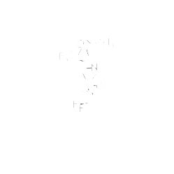 Cc1coc2c(C(F)(F)F)cc(-c3ccc(C(=O)N4CCC(F)(F)CC4)cn3)cc12